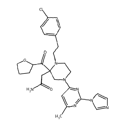 Cc1cc(N2CCN(CCc3ccc(Cl)cc3)C(CC(N)=O)(C(=O)C3CCCO3)C2)nc(-n2ccnc2)n1